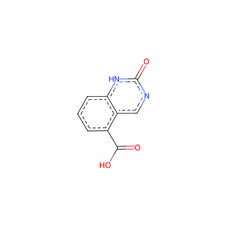 O=C(O)c1cccc2[nH]c(=O)ncc12